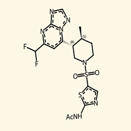 CC(=O)Nc1ncc(S(=O)(=O)N2CC[C@H](C)[C@@H](c3cc(C(F)F)nc4ncnn34)C2)s1